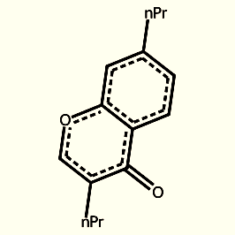 CCCc1ccc2c(=O)c(CCC)coc2c1